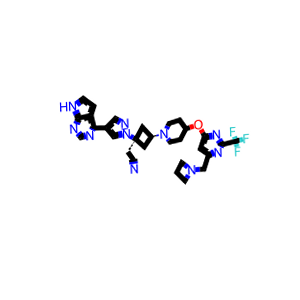 N#CC[C@]1(n2cc(-c3ncnc4[nH]ccc34)cn2)C[C@H](N2CCC(Oc3cc(CN4CCC4)nc(C(F)(F)F)n3)CC2)C1